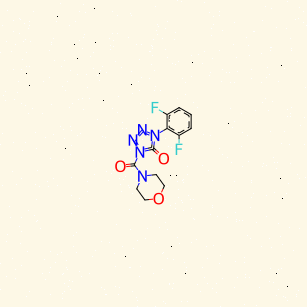 O=C(N1CCOCC1)n1nnn(-c2c(F)cccc2F)c1=O